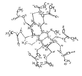 CCc1c2c(COC(C)=O)c(COC(C)=O)c(COC(C)=O)c(COC(C)=O)c2c(CC)c2c(COC(C)=O)c(COC(C)=O)c(COC(C)=O)c(COC(C)=O)c12